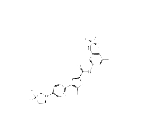 Cc1sc(C(=O)Nc2cc(Cl)cc(NS(C)(=O)=O)c2)cc1-c1ccc(N2CCC(F)(F)C2)cn1